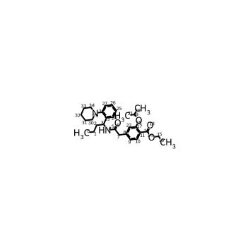 CCCC(NC(=O)Cc1ccc(C(=O)OCC)c(OC(C)C)c1)c1ccccc1N1CCCCC1